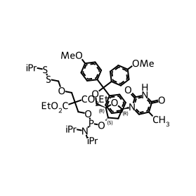 CCOC(=O)C(COCSSC(C)C)(COP(O[C@H]1C[C@H](n2cc(C)c(=O)[nH]c2=O)O[C@@H]1COC(c1ccccc1)(c1ccc(OC)cc1)c1ccc(OC)cc1)N(C(C)C)C(C)C)C(=O)OCC